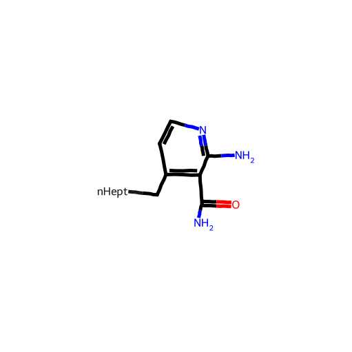 CCCCCCCCc1ccnc(N)c1C(N)=O